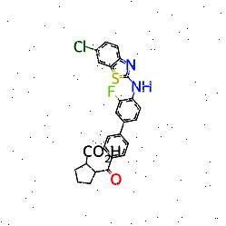 O=C(O)C1CCCC1C(=O)c1ccc(-c2ccc(Nc3nc4ccc(Cl)cc4s3)c(F)c2)cc1